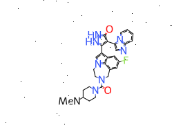 CNC1CCN(C(=O)N2CCn3cc(-c4[nH][nH]c(=O)c4-c4cnc5ccccn45)c4cc(F)cc(c43)C2)CC1